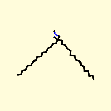 CCCCCCC=CCCCCCCCCC1(CCCCCCCCC=CCCCCCC)CN(C)C1